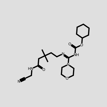 CC(C)(CCN=C(NC(=O)OC1CCCCC1)N1CCOCC1)CC(=O)NCC#N